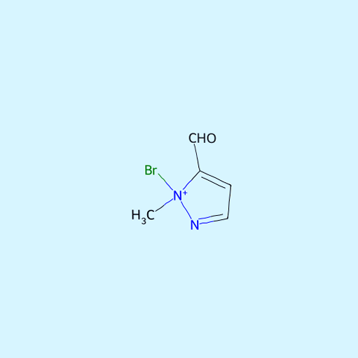 C[N+]1(Br)N=CC=C1C=O